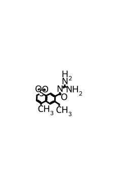 CCc1cc2c(cc1C(=O)N=C(N)N)S(=O)(=O)CC=C2C